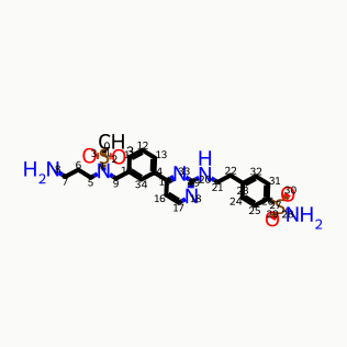 CS(=O)(=O)N(CCCN)Cc1cccc(-c2ccnc(NCCc3ccc(S(N)(=O)=O)cc3)n2)c1